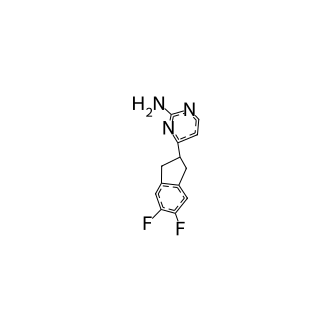 Nc1nccc(C2Cc3cc(F)c(F)cc3C2)n1